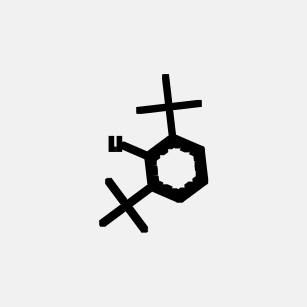 [Li][c]1c(C(C)(C)C)cccc1C(C)(C)C